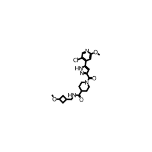 COc1cc(-c2cc(C(=O)N3CCC(C(=O)NCC4CC(OC)C4)CC3)n[nH]2)c(Cl)cn1